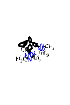 Cc1nc(C)nc(-c2ccc(-c3cccc(-c4cccc(C#N)c4)c3-c3ccc(-c4nc(C)nc(C)n4)cc3)cc2)n1